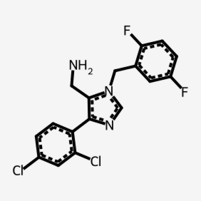 NCc1c(-c2ccc(Cl)cc2Cl)ncn1Cc1cc(F)ccc1F